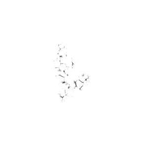 CC(=O)OC(CC(C(C)C)N(C)C(=O)CC1CSC1)c1nc(C(=O)N[C@@H](Cc2ccc(C(F)(F)F)cc2)CC(C)C(=O)O)cs1